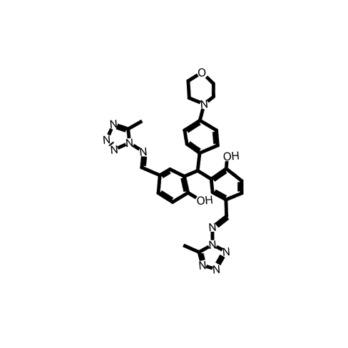 Cc1nnnn1N=Cc1ccc(O)c(C(c2ccc(N3CCOCC3)cc2)c2cc(C=Nn3nnnc3C)ccc2O)c1